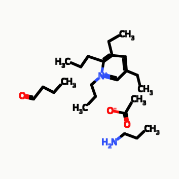 CC(=O)[O-].CCCC=O.CCCN.CCCc1c(CC)cc(CC)c[n+]1CCC